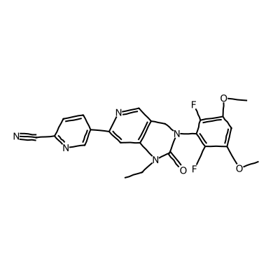 CCN1C(=O)N(c2c(F)c(OC)cc(OC)c2F)Cc2cnc(-c3ccc(C#N)nc3)cc21